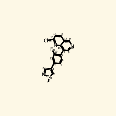 Cn1cc(-c2ccc(-c3cncc4ccc(Cl)nc34)c(F)c2)cn1